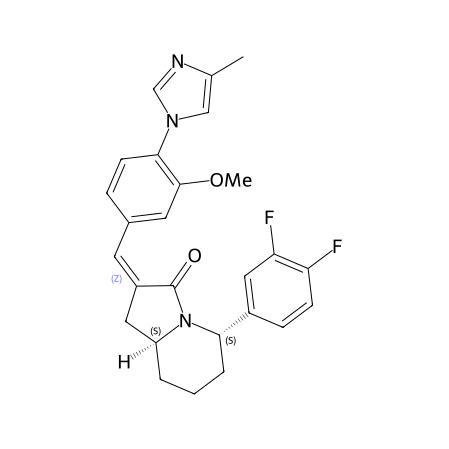 COc1cc(/C=C2/C[C@@H]3CCC[C@@H](c4ccc(F)c(F)c4)N3C2=O)ccc1-n1cnc(C)c1